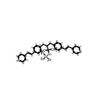 CC[Si](CC)(CC)OC(C)(C)C(Cc1ccc(/C=C/c2ccncc2)cc1)Cc1ccc(/C=C/c2ccncc2)cc1